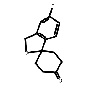 O=C1CCC2(CC1)OCc1cc(F)ccc12